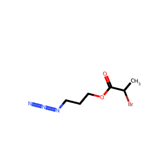 CC(Br)C(=O)OCCCN=[N+]=[N-]